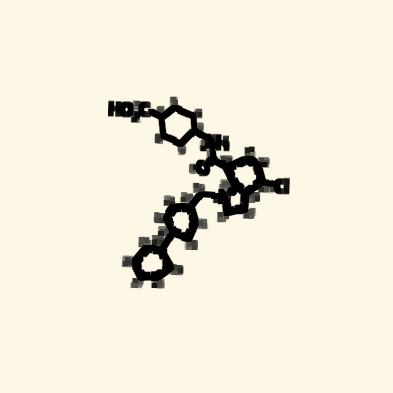 O=C(NC1CCC(C(=O)O)CC1)c1ccc(Cl)c2ccn(Cc3ccc(-c4ccccc4)cc3)c12